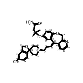 CC(C)(CC(N)=O)Oc1ccc2c(c1)C(=CCCN1CCC3(CC1)OCc1cc(Cl)ccc13)c1cccnc1CO2